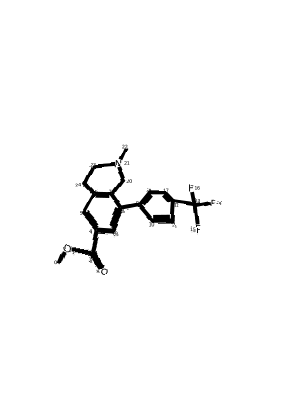 COC(=O)c1cc2c(c(-c3ccc(C(F)(F)F)cc3)c1)CN(C)CC2